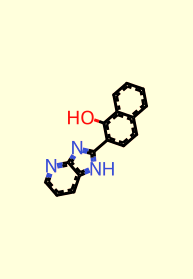 Oc1c(-c2nc3ncccc3[nH]2)ccc2ccccc12